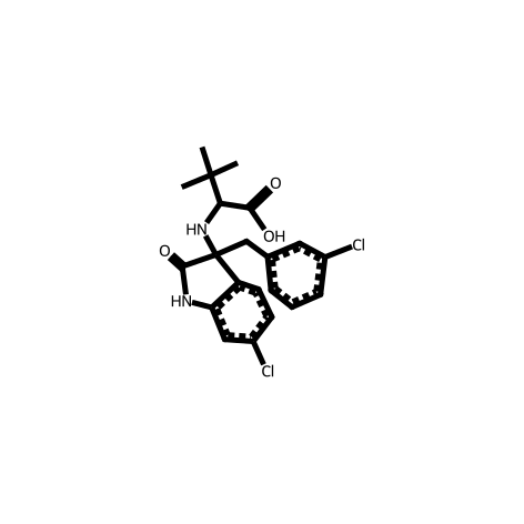 CC(C)(C)C(NC1(Cc2cccc(Cl)c2)C(=O)Nc2cc(Cl)ccc21)C(=O)O